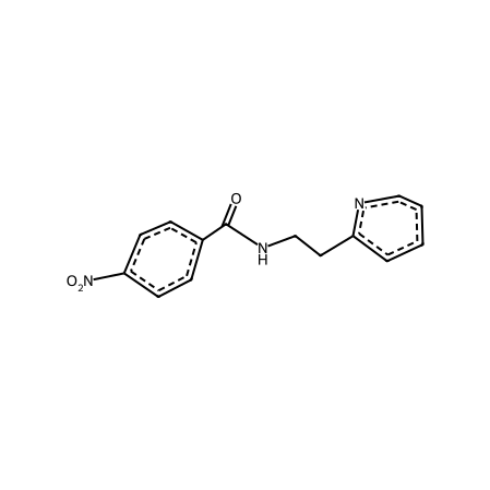 O=C(NCCc1ccccn1)c1ccc([N+](=O)[O-])cc1